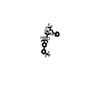 CCC(CC)(NC(=O)c1cnn2c1NC(c1ccccc1)CC2C(F)(F)F)c1ccc(-c2cccc(C(F)(F)F)c2)cc1